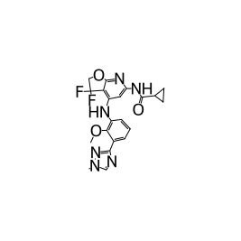 COc1c(Nc2cc(NC(=O)C3CC3)nc3c2C(F)(F)CO3)cccc1-c1ncn(C)n1